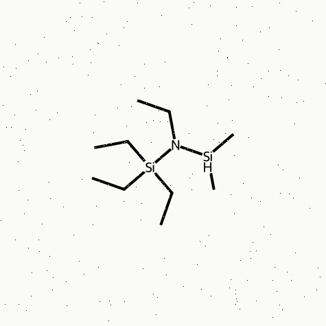 CCN([SiH](C)C)[Si](CC)(CC)CC